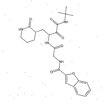 CC(C)(C)NC(=O)C(=O)C(CC1CCCNC1=O)NC(=O)CNC(=O)c1cc2ccccc2o1